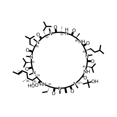 C=C1C(=O)N(C)[C@@H](CC(C)(C)O)C(=O)N[C@H](C(C)C)C(=O)N(C)[C@H](CCC(C)C)C(=O)N[C@H](C)C(=O)N[C@@H](C)C(=O)N(C)[C@@H](CC(C)C)C(=O)N(C)[C@H](CC(C)C)C(=O)N(C)[C@H](C(C)C)C(=O)N(C)[C@@H]([C@H](O)[C@H](C)C/C=C/C)C(=O)N[C@@H](CC)C(=O)N1C